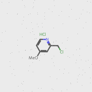 COc1ccnc(CCl)c1.Cl